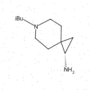 CCC(C)N1CCC2(CC1)C[C@@H]2N